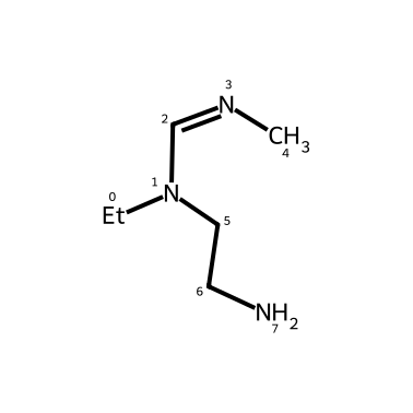 CCN(/C=N\C)CCN